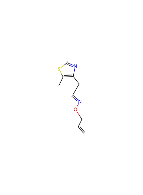 C=CCON=CCc1n[c]sc1C